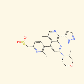 Cc1nc(C[SH](=O)=O)ccc1-c1cc(N2CCOC[C@H]2C)nc2c(-c3ccn[nH]3)ncc(C)c12